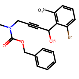 CN(CC#CC(O)c1c(Br)cccc1[N+](=O)[O-])C(=O)OCc1ccccc1